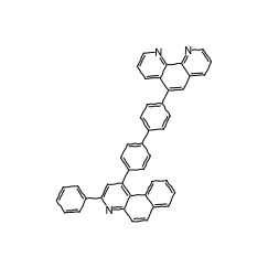 c1ccc(-c2cc(-c3ccc(-c4ccc(-c5cc6cccnc6c6ncccc56)cc4)cc3)c3c(ccc4ccccc43)n2)cc1